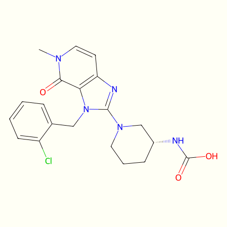 Cn1ccc2nc(N3CCC[C@@H](NC(=O)O)C3)n(Cc3ccccc3Cl)c2c1=O